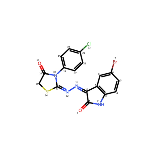 O=C1Nc2ccc(Br)cc2C1=NN=C1SCC(=O)N1c1ccc(Cl)cc1